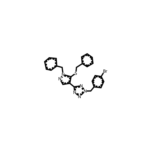 Brc1ccc(Cn2nnc(-c3cnn(Cc4ccccc4)c3SCc3ccccc3)n2)cc1